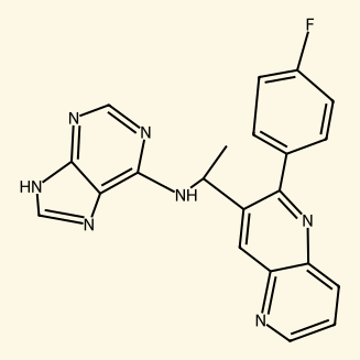 CC(Nc1ncnc2[nH]cnc12)c1cc2ncccc2nc1-c1ccc(F)cc1